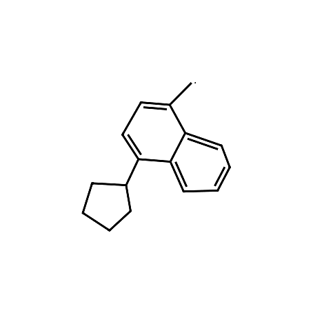 [CH2]c1ccc(C2CCCC2)c2ccccc12